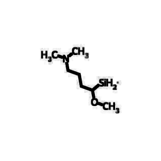 COC([SiH2])CCCN(C)C